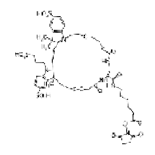 CC1(C)C2=[N+](CCCCCCC(=O)NCC(C(=O)NCCCCCC(=O)ON3C(=O)CCC3=O)NC(=O)CCCCCC3(C)/C(=C/C=C/2)N(CCCS(=O)(=O)O)c2ccc(S(=O)(=O)O)cc23)c2ccc(S(=O)(=O)O)cc21